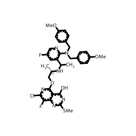 COc1ccc(CN(Cc2ccc(OC)cc2)c2ncc(F)cc2C(C)N[C@@H](C)COc2nc(Cl)c(F)c3nc(SC)nc(O)c23)cc1